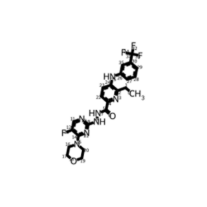 CCc1nc(C(=O)NNc2ncc(F)c(N3CCOCC3)n2)ccc1Nc1cccc(C(F)(F)F)c1